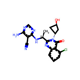 C[C@H](Nc1ncnc(N)c1C#N)c1nc2cccc(Cl)c2c(=O)n1[C@H]1C[C@H](O)C1